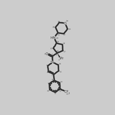 CC(C)[C@]1(C(=O)N2CC=C(c3cccc(C(F)(F)F)c3)CC2)CCC(NC2CCOCC2)C1